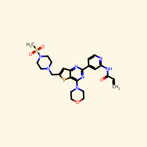 C=CC(=O)Nc1cc(-c2nc(N3CCOCC3)c3sc(CN4CCN(S(C)(=O)=O)CC4)cc3n2)ccn1